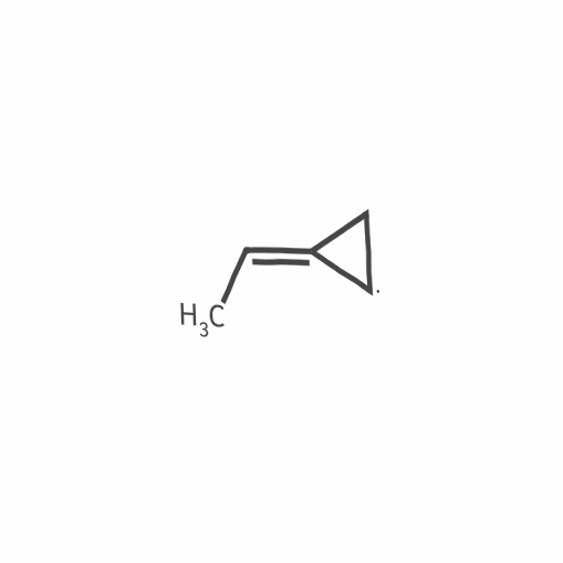 C/C=C1\[CH]C1